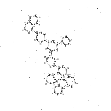 c1ccc(-c2nc(-c3ccc(-c4cccc5cccnc45)cc3)nc(-c3cccc(-c4cccc5c4-c4ccccc4C54c5ccccc5-c5ccccc54)c3)n2)cc1